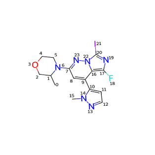 CC1COCCN1c1cc(-c2ccnn2C)c2c(F)nc(I)n2n1